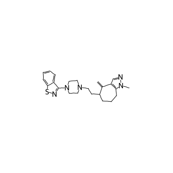 C=C1c2cnn(C)c2CCCC1CCN1CCN(c2nsc3ccccc23)CC1